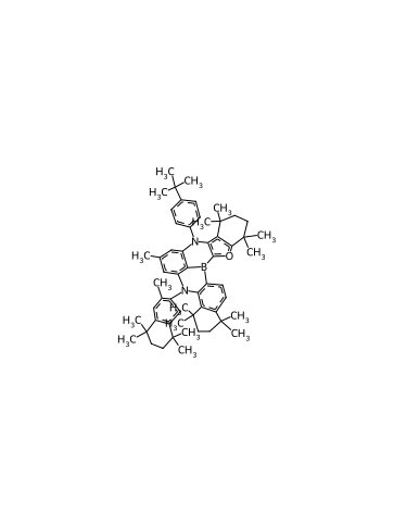 Cc1cc2c3c(c1)N(c1cc4c(cc1C)C(C)(C)CCC4(C)C)c1c(ccc4c1C(C)(C)CCC4(C)C)B3c1oc3c(c1N2c1ccc(C(C)(C)C)cc1)C(C)(C)CCC3(C)C